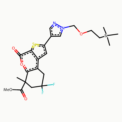 COC(=O)C1(C)CC(F)(F)Cc2c1oc(=O)c1sc(-c3cnn(COCC[Si](C)(C)C)c3)cc21